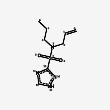 C=CCN(CCC)S(=O)(=O)c1nc[nH]n1